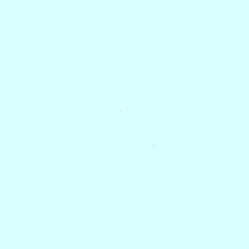 CSc1ccc2nc(-c3ccc(N(C)CI)cc3)cn2c1